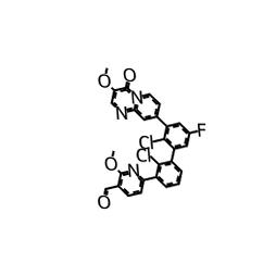 COc1nc(-c2cccc(-c3cc(F)cc(-c4ccn5c(=O)c(OC)cnc5c4)c3Cl)c2Cl)ccc1C=O